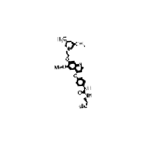 COc1cc2c(Oc3ccc(NC(=O)NCCC(C)(C)C)cc3)ccnc2cc1OCCN1CC(C)CC(C)C1